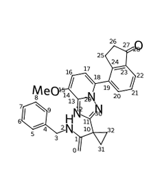 C=C(NCc1ccccc1)C1(c2nc3c(OC)ccc(-c4cccc5c4CCC5=O)n3n2)CC1